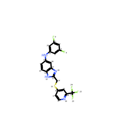 Fc1cc(F)cc(Nc2ccc3[nH]c(CSc4ccnc(C(F)(F)F)c4)nc3c2)c1